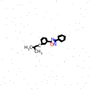 CC(C)CCc1cccc(-c2nc(-c3ccccc3)no2)c1